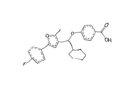 Cc1oc(-c2ccc(F)cc2)cc1C(Oc1ccc(C(=O)O)cc1)C1CCCCC1